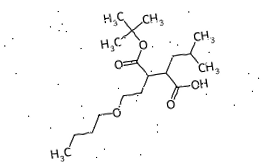 CCCCOCCC(C(=O)OC(C)(C)C)C(CC(C)C)C(=O)O